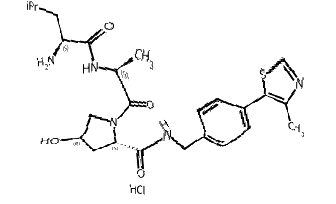 Cc1ncsc1-c1ccc(CNC(=O)[C@@H]2C[C@@H](O)CN2C(=O)[C@H](C)NC(=O)[C@@H](N)CC(C)C)cc1.Cl